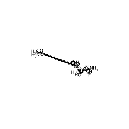 C[C@H](N)C(=O)OCCCCCCCCCCCCCCCCc1cccc(O[PH](=O)OC[C@@]2(C)O[C@@H](n3cnc4c(N)nc(F)nc43)C[C@@H]2O)c1